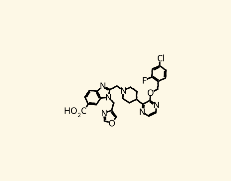 O=C(O)c1ccc2nc(CN3CCC(c4nccnc4OCc4ccc(Cl)cc4F)CC3)n(Cc3cocn3)c2c1